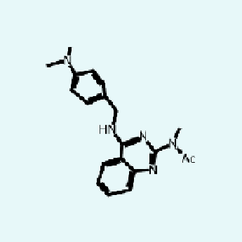 CC(=O)N(C)c1nc(NCc2ccc(N(C)C)cc2)c2ccccc2n1